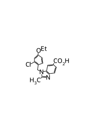 CCOc1ccc(Cn2c(C)nc3ccc(C(=O)O)cc32)c(Cl)c1